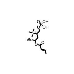 CC=CC(=O)OC(CCCC)CC(COP(=O)(O)O)[N+](C)(C)C